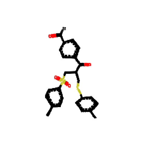 CCC(=O)c1ccc(C(=O)C(CSc2ccc(C)cc2)CS(=O)(=O)c2ccc(C)cc2)cc1